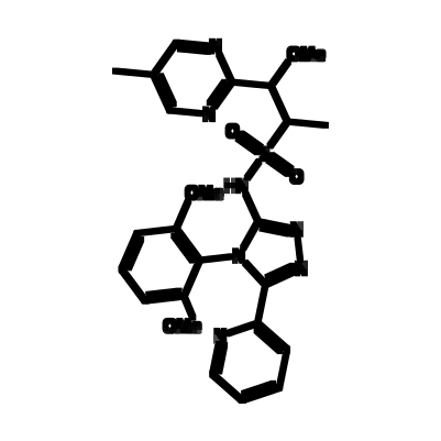 COc1cccc(OC)c1-n1c(NS(=O)(=O)C(C)C(OC)c2ncc(C)cn2)nnc1-c1ccccn1